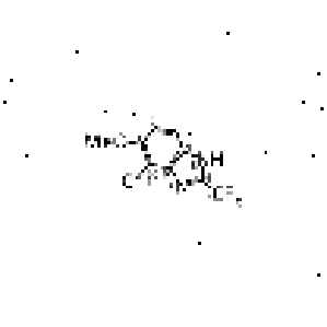 COc1ccc2[nH]c(C(F)(F)F)nc2c1Cl